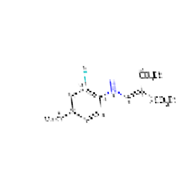 CCOC(=O)C(=CNc1ccc(OC)cc1F)C(=O)OCC